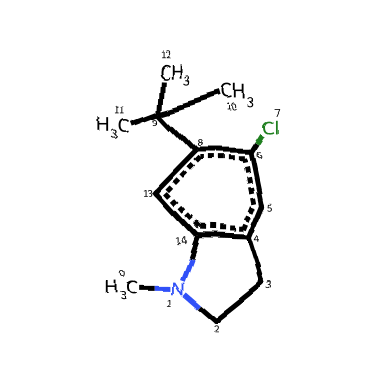 CN1CCc2cc(Cl)c(C(C)(C)C)cc21